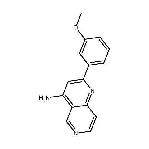 COc1cccc(-c2cc(N)c3cnccc3n2)c1